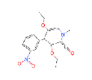 CCOC1=CN(C)C(=C=O)C(OCC)C1c1cccc([N+](=O)[O-])c1